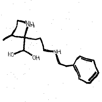 CC1CNC1(CCNCc1ccccc1)C(O)O